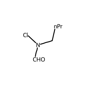 CCCCN(Cl)C=O